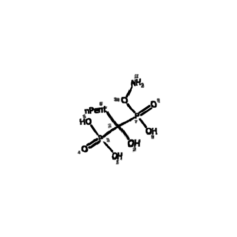 CCCCCC(O)(P(=O)(O)O)P(=O)(O)ON